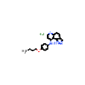 CCCCOc1ccc(Nc2ccnc3ccc4cn[nH]c4c23)cc1.Cl